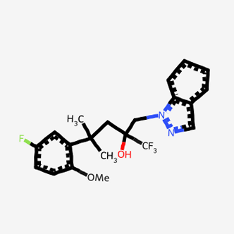 COc1ccc(F)cc1C(C)(C)CC(O)(Cn1ncc2ccccc21)C(F)(F)F